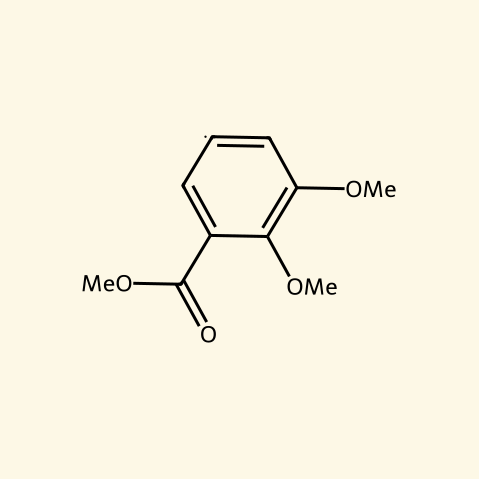 COC(=O)c1c[c]cc(OC)c1OC